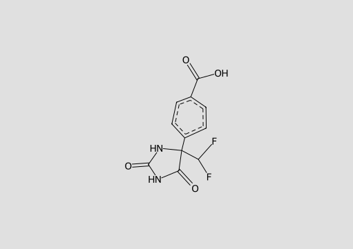 O=C1NC(=O)C(c2ccc(C(=O)O)cc2)(C(F)F)N1